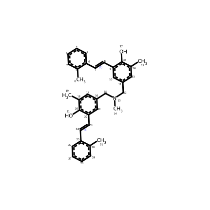 Cc1ccccc1/C=C/c1cc(CN(C)Cc2cc(C)c(O)c(/C=C/c3ccccc3C)c2)cc(C)c1O